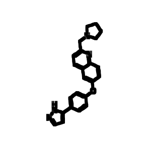 c1cc(-c2ccc(Oc3ccc4nc(CN5CCCC5)ccc4c3)cc2)[nH]n1